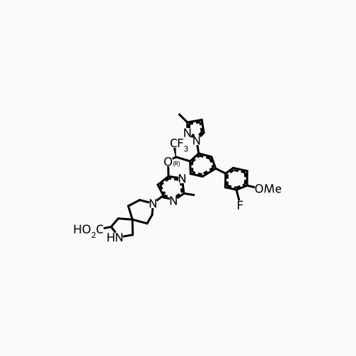 COc1ccc(-c2ccc([C@@H](Oc3cc(N4CCC5(CC4)CNC(C(=O)O)C5)nc(C)n3)C(F)(F)F)c(-n3ccc(C)n3)c2)cc1F